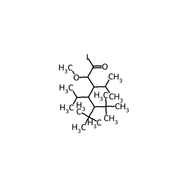 COC(C(=O)I)C(C(C)C)C(C(C)C)C(C(C)(C)C)C(C)(C)C